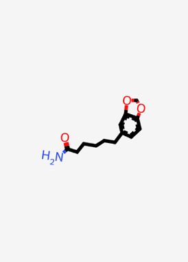 NC(=O)CCCCCc1ccc2c(c1)OCO2